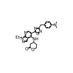 CCn1ncc2c(NC3CCOC(=O)C3)c(-c3nc(Cc4ccc(N(C)C)cc4)no3)cnc21